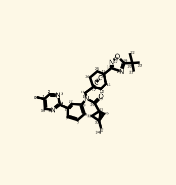 Cc1cnc(-c2cccc(N(CC34CCC(c5noc(C(C)(C)C)n5)(CC3)CC4)C(=O)C34CC(F)(C3)C4)c2)nc1